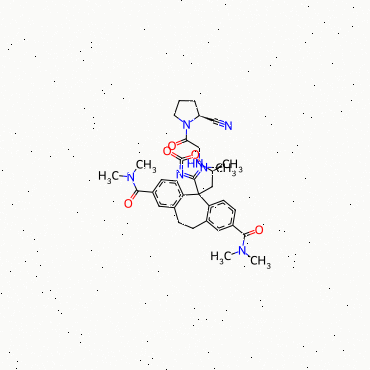 C[C@@H](CC1(c2nc(=O)on2C)c2ccc(C(=O)N(C)C)cc2CCc2cc(C(=O)N(C)C)ccc21)NCC(=O)N1CCC[C@H]1C#N